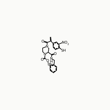 C=C(C(=O)N1CCN(C(=O)OC(C)(C)C)C(C(=O)NCc2ccccc2)C1)c1ccc(S)c([N+](=O)[O-])c1